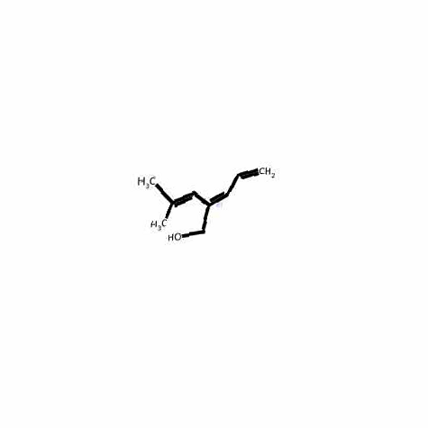 C=C/C=C(\C=C(C)C)CO